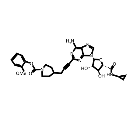 COc1ccccc1OC(=O)N1CCC(CC#Cc2nc(N)c3ncn([C@@H]4O[C@H](C(=O)NC5CC5)[C@@H](O)[C@@H]4O)c3n2)CC1